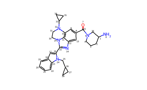 NC1CCCN(C(=O)c2cc3c4c(c2)nc(-c2cc5ccccc5n2CC2CC2)n4CCN3C2CC2)C1